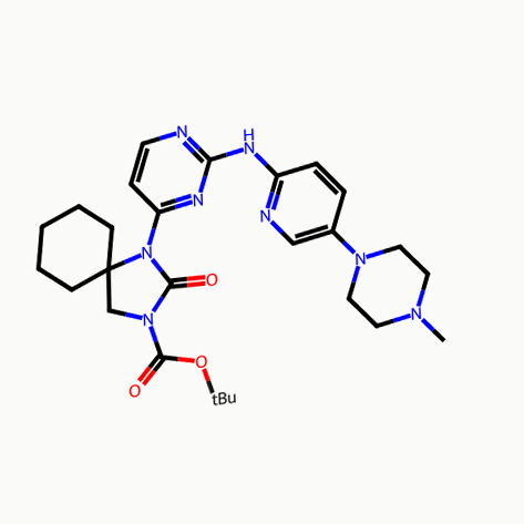 CN1CCN(c2ccc(Nc3nccc(N4C(=O)N(C(=O)OC(C)(C)C)CC45CCCCC5)n3)nc2)CC1